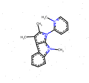 Cc1c(C)n(-c2cccc[n+]2C)c2c1c1ccccc1n2C